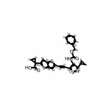 O=C(Nc1c(C2CC2)nsc1C#Cc1cc2sc(C3(C(=O)O)CC3)cc2s1)OCc1ccccc1